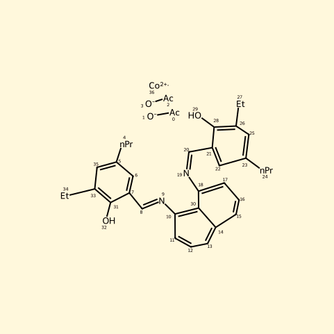 CC(=O)[O-].CC(=O)[O-].CCCc1cc(C=Nc2cccc3cccc(N=Cc4cc(CCC)cc(CC)c4O)c23)c(O)c(CC)c1.[Co+2]